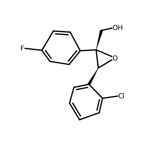 OC[C@@]1(c2ccc(F)cc2)O[C@H]1c1ccccc1Cl